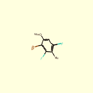 COc1cc(F)c(C(C)(C)C)c(F)c1Br